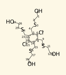 OCCSCc1c(Cl)c(CSCCO)c(CSCCO)c(Cl)c1CSCCO